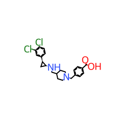 O=C(O)c1ccc(CN2CCC(CN[C@@H]3C[C@H]3c3ccc(Cl)c(Cl)c3)CC2)cc1